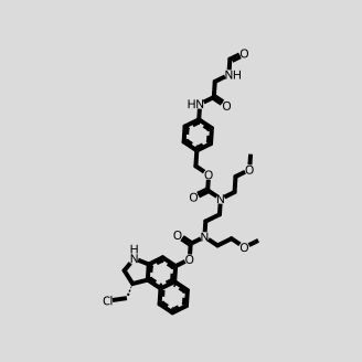 COCCN(CCN(CCOC)C(=O)Oc1cc2c(c3ccccc13)[C@H](CCl)CN2)C(=O)OCc1ccc(NC(=O)CNC=O)cc1